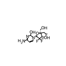 NC1=NC(O)N([C@@H]2O[C@@](CO)(CF)[C@@H](O)C2(F)F)C=C1